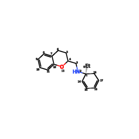 CC[C@@]1(NCC2CCc3ccccc3O2)C=CC=CC1